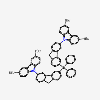 CC(C)(C)c1ccc2c(c1)c1cc(C(C)(C)C)ccc1n2-c1ccc2c(c1)-c1cc([Si](c3ccccc3)(c3ccccc3)c3ccc4c(c3)-c3cc(-n5c6ccc(C(C)(C)C)cc6c6cc(C(C)(C)C)ccc65)ccc3C4)ccc1C2